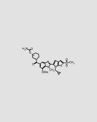 COc1cc(C(=O)N2CCC[C@@H](OC(N)=O)C2)cc2nc(-c3cc4cc(S(C)(=O)=O)sc4n3CC3CC3)n(C)c12